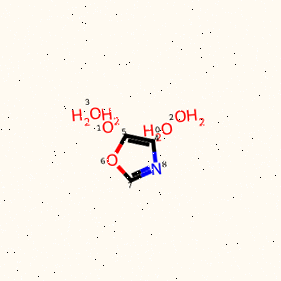 O.O.O.O.c1cocn1